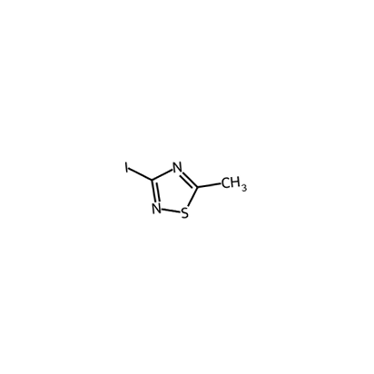 Cc1nc(I)ns1